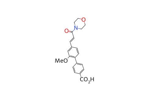 COc1cc(C=CC(=O)N2CCOCC2)ccc1-c1ccc(C(=O)O)cc1